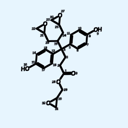 O=C(CCC(c1ccc(O)cc1)(c1ccc(O)cc1)C(CC1CO1)CC1CO1)OCC1CO1